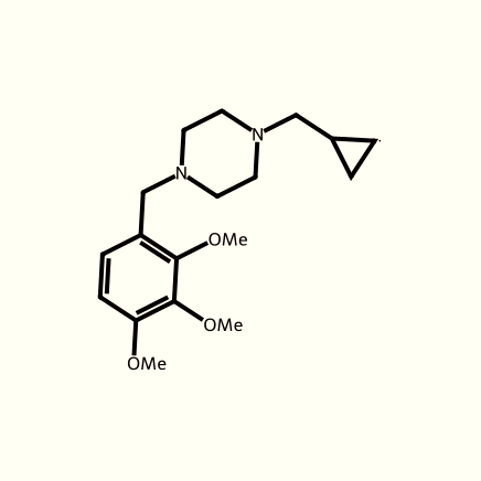 COc1ccc(CN2CCN(CC3[CH]C3)CC2)c(OC)c1OC